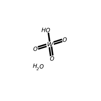 O.[O]=[W](=[O])(=[O])[OH]